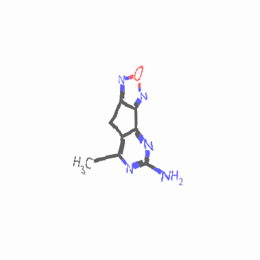 Cc1nc(N)nc2c1Cc1nonc1-2